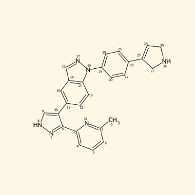 Cc1cccc(-c2n[nH]cc2-c2ccc3c(cnn3-c3ccc(C4=CCNC4)cc3)c2)n1